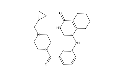 O=C(c1cccc(Nc2c[nH]c(=O)c3c2CCCC3)c1)N1CCN(CC2CC2)CC1